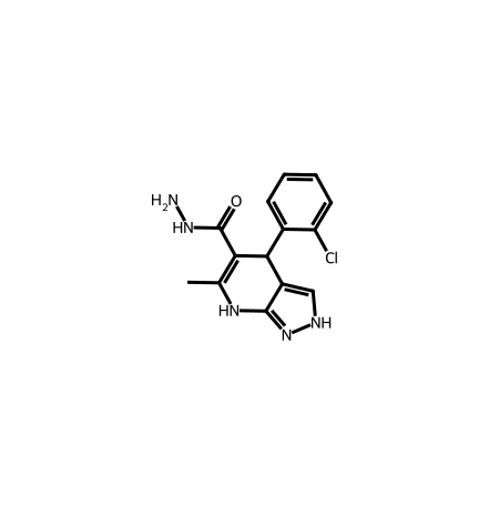 CC1=C(C(=O)NN)C(c2ccccc2Cl)c2c[nH]nc2N1